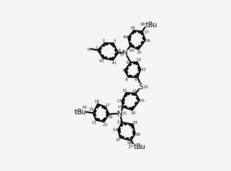 Cc1ccc(N(c2ccc(Sc3ccc(N(c4ccc(C(C)(C)C)cc4)c4ccc(C(C)(C)C)cc4)cc3)cc2)c2ccc(C(C)(C)C)cc2)cc1